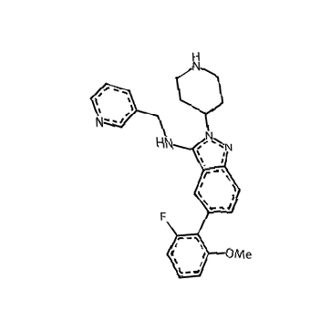 COc1cccc(F)c1-c1ccc2nn(C3CCNCC3)c(NCc3cccnc3)c2c1